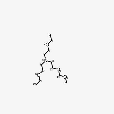 CCOCCN(CCOCC)CCOCOC